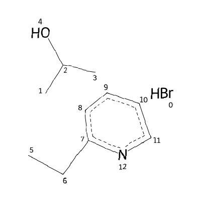 Br.CC(C)O.CCc1ccccn1